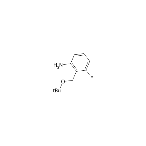 CC(C)(C)OCc1c(N)cccc1F